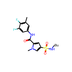 CCC(C)NS(=O)(=O)c1cc(C(=O)Nc2cc(C)c(F)c(F)c2)n(C)c1